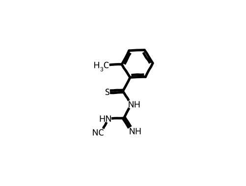 Cc1ccccc1C(=S)NC(=N)NC#N